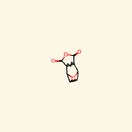 O=C1OC(=O)C23CCCC12C1C=CC3O1